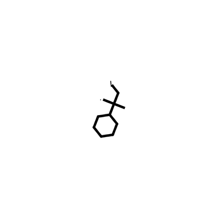 [CH2]C(C)(CI)C1CCCCC1